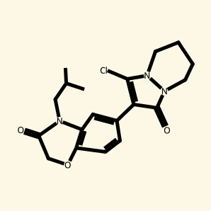 CC(C)CN1C(=O)COc2ccc(-c3c(Cl)n4n(c3=O)CCCC4)cc21